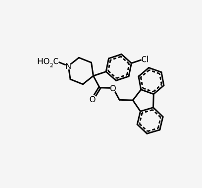 O=C(O)N1CCC(C(=O)OCC2c3ccccc3-c3ccccc32)(c2ccc(Cl)cc2)CC1